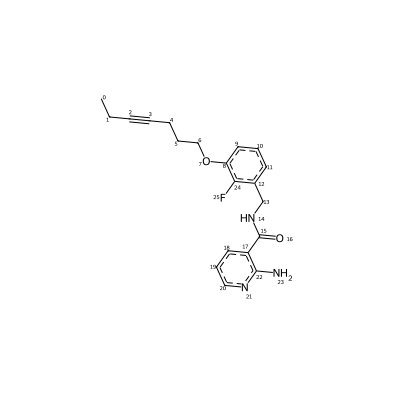 CCC#CCCCOc1cccc(CNC(=O)c2cccnc2N)c1F